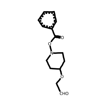 O=CCOC1CCN(OC(=O)c2ccccc2)CC1